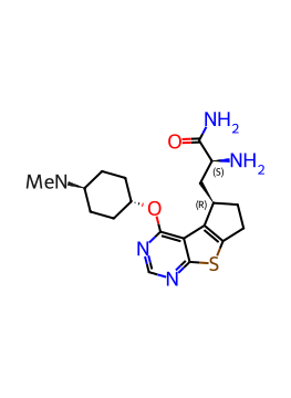 CN[C@H]1CC[C@H](Oc2ncnc3sc4c(c23)[C@@H](C[C@H](N)C(N)=O)CC4)CC1